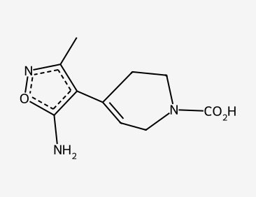 Cc1noc(N)c1C1=CCN(C(=O)O)CC1